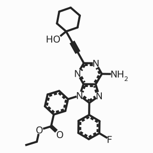 CCOC(=O)c1cccc(-n2c(-c3cccc(F)c3)nc3c(N)nc(C#CC4(O)CCCCC4)nc32)c1